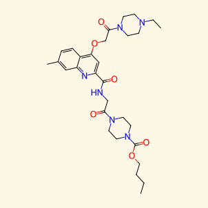 CCCCOC(=O)N1CCN(C(=O)CNC(=O)c2cc(OCC(=O)N3CCN(CC)CC3)c3ccc(C)cc3n2)CC1